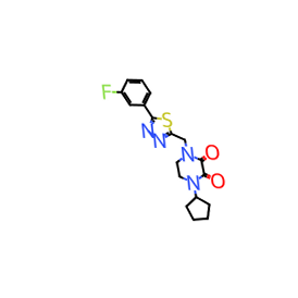 O=C1C(=O)N(C2CCCC2)CCN1Cc1nnc(-c2cccc(F)c2)s1